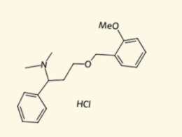 COc1ccccc1COCCC(c1ccccc1)N(C)C.Cl